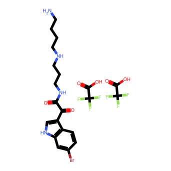 NCCCCNCCCNC(=O)C(=O)c1c[nH]c2cc(Br)ccc12.O=C(O)C(F)(F)F.O=C(O)C(F)(F)F